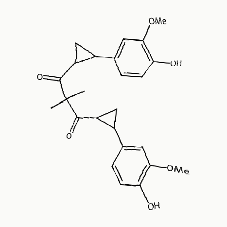 COc1cc(C2CC2C(=O)C(C)(C)C(=O)C2CC2c2ccc(O)c(OC)c2)ccc1O